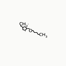 [CH2]CC1C[CH]C(COCCCCC)C1